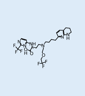 O=C(O)[C@H](CCN(CCCCc1ccc2c(n1)NCCC2)CCOCC(F)(F)F)Nc1ccnc(C(F)(F)F)n1